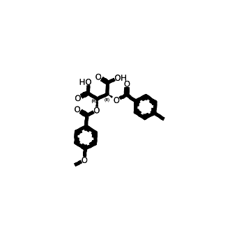 COc1ccc(C(=O)O[C@@H](C(=O)O)[C@@H](OC(=O)c2ccc(C)cc2)C(=O)O)cc1